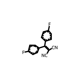 N#CC(C#N)=C(c1ccc(F)cc1)c1ccc(F)cc1